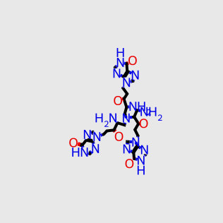 NCC(C(=O)CCn1cnc2c(=O)[nH]cnc21)N(CC(N)C(=O)CCn1cnc2c(=O)[nH]cnc21)CC(N)C(=O)CCn1cnc2c(=O)[nH]cnc21